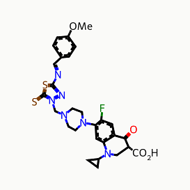 COc1ccc(/C=N/c2nn(CN3CCN(c4cc5c(cc4F)C(=O)C(C(=O)O)CN5C4CC4)CC3)c(=S)s2)cc1